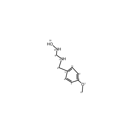 COc1ccc(CNCNO)cc1